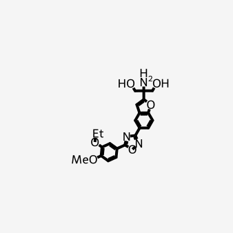 CCOc1cc(-c2nc(-c3ccc4oc(C(N)(CO)CO)cc4c3)no2)ccc1OC